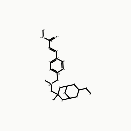 CCC1CC2CC(C1)CC(C)(CN(C)Cc1ccc(/C=C/C(=O)OC)cc1)C2